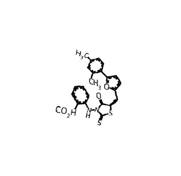 Cc1ccc(-c2ccc(C=C3SC(=S)N(Nc4ccccc4C(=O)O)C3=O)o2)c(C)c1